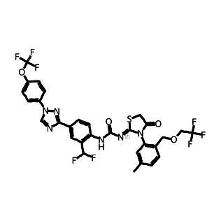 Cc1ccc(COCC(F)(F)F)c(N2C(=O)CS/C2=N\C(=O)Nc2ccc(-c3ncn(-c4ccc(OC(F)(F)F)cc4)n3)cc2C(F)F)c1